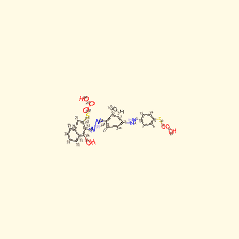 O=S(=O)(O)c1cc(/N=N/c2ccc(SOOO)cc2)ccc1/N=N/c1c(SOOO)cc2ccccc2c1O